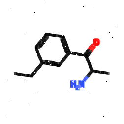 CCc1cccc(C(=O)C(C)N)c1